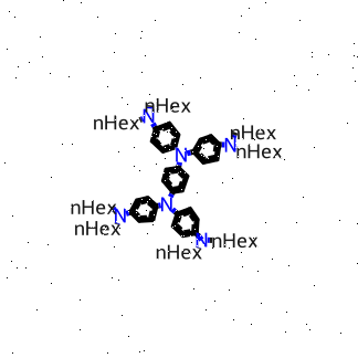 CCCCCCN(CCCCCC)c1ccc(N(c2ccc(N(CCCCCC)CCCCCC)cc2)c2ccc(N(c3ccc(N(CCCCCC)CCCCCC)cc3)c3ccc(N(CCCCCC)CCCCCC)cc3)cc2)cc1